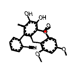 COc1cc(OC)c(Cc2c(C=O)c(O)c(O)c(C)c2-c2ccccc2C#N)c(OC)c1